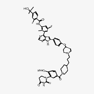 COc1ccc(C(=O)N2CCC(CCCN3CCC(Oc4ccc(-c5cc6c(-c7cc(F)cc(NC(=O)c8ccc(C(C)(C)O)cc8F)c7C)ncnc6[nH]5)cc4)CC3)CC2)cc1N1CCC(=O)NC1=O